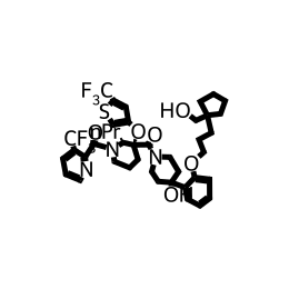 CCC[C@H]1N(C(=O)c2ncccc2C(F)(F)F)CCC[C@@]1(Oc1csc(C(F)(F)F)c1)C(=O)N1CCC(O)(c2ccccc2OCCCC2(CO)CCCC2)CC1